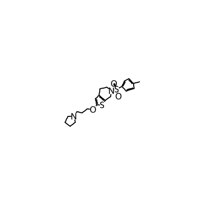 Cc1ccc(S(=O)(=O)N2CCc3cc(OCCCN4CCCC4)sc3C2)cc1